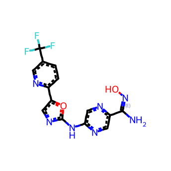 N/C(=N/O)c1cnc(Nc2ncc(-c3ccc(C(F)(F)F)cn3)o2)cn1